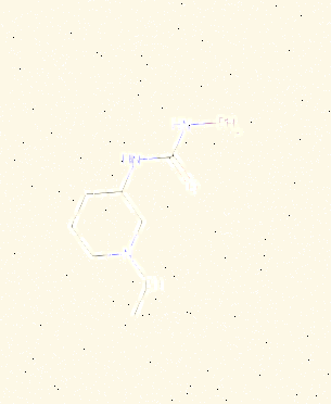 CBN1CCCC(NC(=O)NP)C1